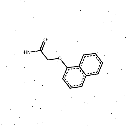 [NH]C(=O)COc1cccc2ccccc12